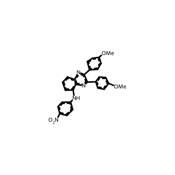 COc1ccc(-c2nc3cccc(Nc4ccc([N+](=O)[O-])cc4)c3nc2-c2ccc(OC)cc2)cc1